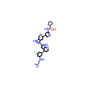 CN(C)CCNc1cc(F)cc(-c2ccnc3[nH]c(-c4n[nH]c5cnc(-c6cncc(NC(O)C7CCCC7)c6)cc45)cc23)c1